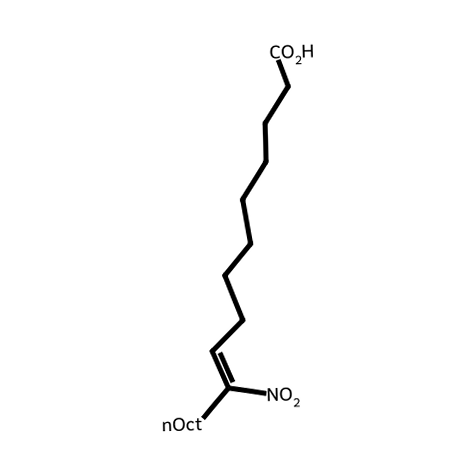 CCCCCCCC/C(=C/CCCCCCCC(=O)O)[N+](=O)[O-]